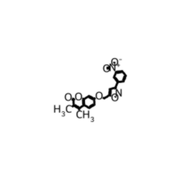 Cc1c(C)c2ccc(OCc3cc(-c4cccc([N+](=O)[O-])c4)no3)cc2oc1=O